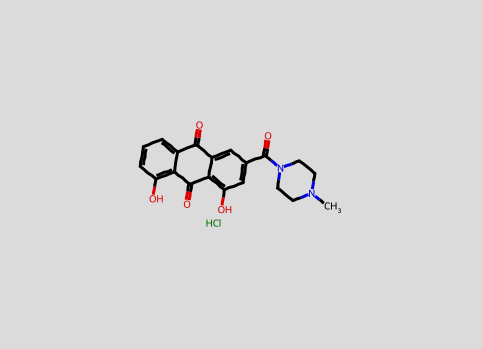 CN1CCN(C(=O)c2cc(O)c3c(c2)C(=O)c2cccc(O)c2C3=O)CC1.Cl